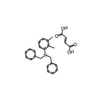 Cc1cccc(N(Cc2ccccc2)Cc2ccccc2)c1C.O=C(O)/C=C/C(=O)O